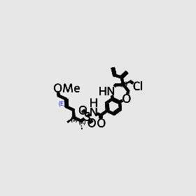 C=CC(=C)[C@@]1(CCl)CNc2cc(C(=O)NS(=O)(=O)[C@H](C)[C@@H](C)C/C=C/COC)ccc2OC1